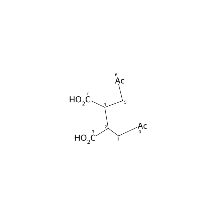 CC(=O)CC(C(=O)O)C(CC(C)=O)C(=O)O